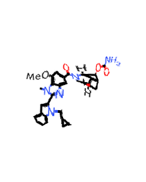 COc1cc(C(=O)N2C[C@H]3CC4[C@H]3[C@H]2[C@H]4OC(N)=O)cc2nc(-c3cc4ccccc4n3CC3CC3)n(C)c12